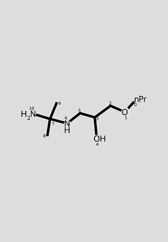 CCCOCC(O)CNC(C)(C)N